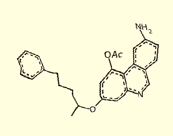 CC(=O)Oc1cc(OC(C)CCCc2ccccc2)cc2ncc3ccc(N)cc3c12